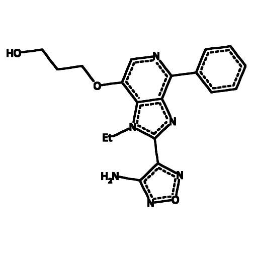 CCn1c(-c2nonc2N)nc2c(-c3ccccc3)ncc(OCCCO)c21